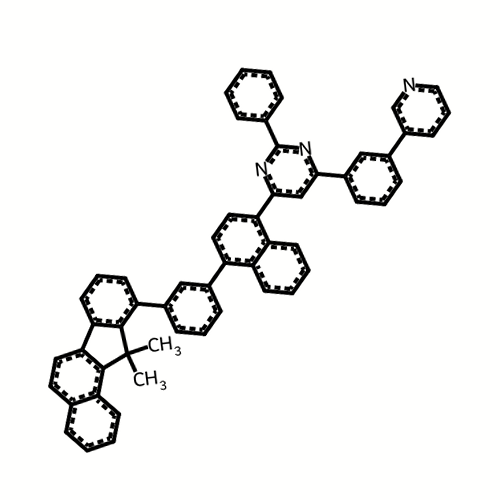 CC1(C)c2c(-c3cccc(-c4ccc(-c5cc(-c6cccc(-c7cccnc7)c6)nc(-c6ccccc6)n5)c5ccccc45)c3)cccc2-c2ccc3ccccc3c21